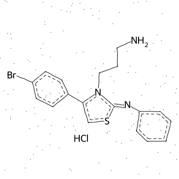 Cl.NCCCn1c(-c2ccc(Br)cc2)csc1=Nc1ccccc1